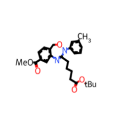 COC(=O)c1ccc2c(c1)N=C(CCCCC(=O)OC(C)(C)C)N(c1cccc(C)c1)OC2